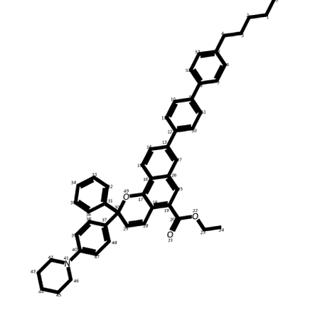 CCCCCc1ccc(-c2ccc(-c3ccc4c5c(c(C(=O)OCC)cc4c3)C=CC(c3ccccc3)(c3ccc(N4CCCCC4)cc3)O5)cc2)cc1